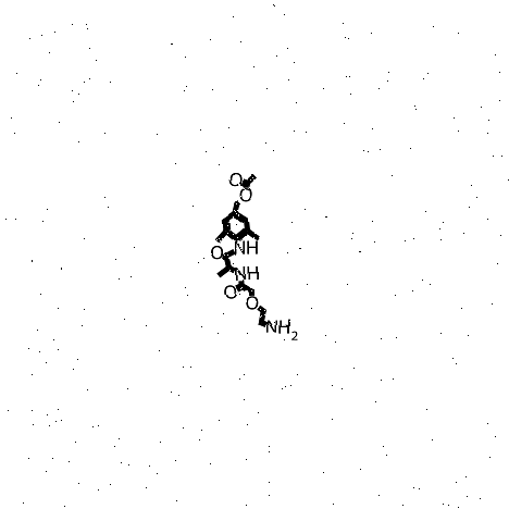 CC(=O)OCc1cc(C)c(NC(=O)C(C)NC(=O)COCCN)c(C)c1